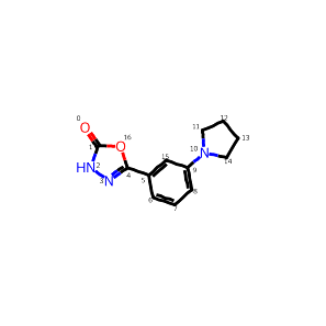 O=c1[nH]nc(-c2cccc(N3CCCC3)c2)o1